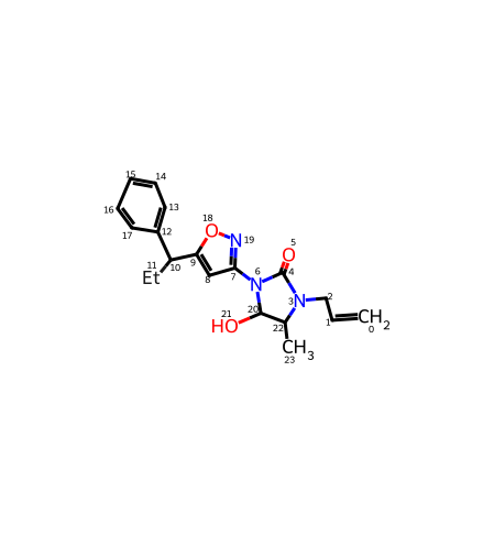 C=CCN1C(=O)N(c2cc(C(CC)c3ccccc3)on2)C(O)C1C